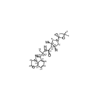 CC(C)(C)OC(=O)N1C[C@@H]2[C@H](C1)[C@H]2C(=O)NC(C)(C)c1nn2c3c(cccc13)OCC2